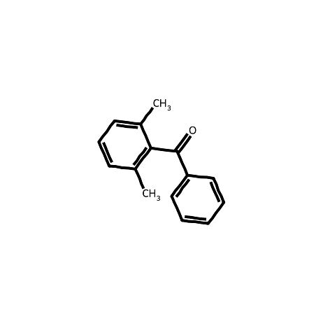 Cc1cccc(C)c1C(=O)c1ccccc1